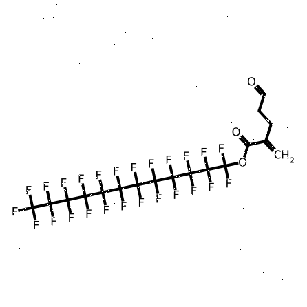 C=C(CCC=O)C(=O)OC(F)(F)C(F)(F)C(F)(F)C(F)(F)C(F)(F)C(F)(F)C(F)(F)C(F)(F)C(F)(F)C(F)(F)C(F)(F)C(F)(F)F